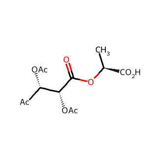 CC(=O)O[C@@H](C(C)=O)[C@@H](OC(C)=O)C(=O)O[C@@H](C)C(=O)O